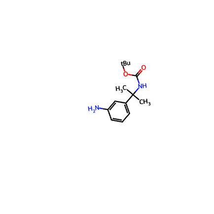 CC(C)(C)OC(=O)NC(C)(C)c1cccc(N)c1